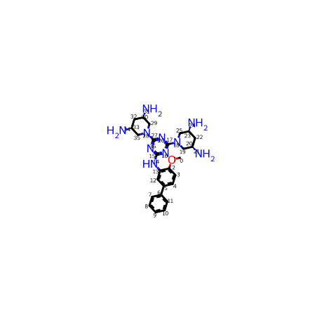 COc1ccc(-c2ccccc2)cc1Nc1nc(N2C[C@H](N)C[C@H](N)C2)nc(N2C[C@H](N)C[C@H](N)C2)n1